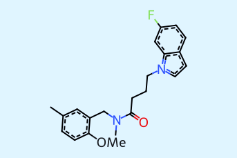 COc1ccc(C)cc1CN(C)C(=O)CCCn1ccc2ccc(F)cc21